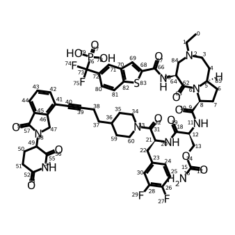 CCN1CC[C@H]2CC[C@@H](C(=O)N[C@@H](COC(N)=O)C(=O)N[C@@H](Cc3ccc(F)c(F)c3)C(=O)N3CCC(CCC#Cc4cccc5c4CN(C4CCC(=O)NC4=O)C5=O)CC3)N2C(=O)[C@@H](NC(=O)c2cc3cc(C(F)(F)P(=O)(O)O)ccc3s2)C1